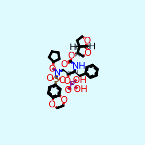 O=C(N[C@@H](Cc1ccccc1)[C@H](CN(OC1CCCC1)S(=O)(=O)c1ccc2c(c1)OCCO2)OP(=O)(O)O)O[C@H]1CO[C@H]2OCC[C@H]21